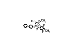 CCOC(=O)[C@H](C)C[C@@H](Cc1ccc(-c2ccccc2)cc1)NC(=O)c1cc(F)c(OC)c(F)c1